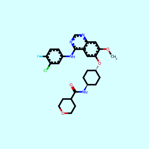 COc1cc2ncnc(Nc3ccc(F)c(Cl)c3)c2cc1O[C@H]1CC[C@H](NC(=O)C2CCOCC2)CC1